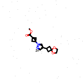 COC(=O)C12CC(n3cc(C4CC5(C4)OCCO5)cn3)(C1)C2.[Zn]